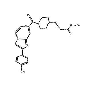 CC(C)(C)OC(=O)COC1CCN(C(=O)c2ccn3cc(-c4ccc(C#N)cc4)nc3c2)CC1